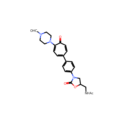 CC(=O)NCC1CN(c2ccc(-c3ccc(N4CCN(C=O)CC4)c(=O)cc3)cc2)C(=O)O1